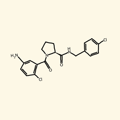 Nc1ccc(Cl)c(C(=O)N2CCC[C@H]2C(=O)NCc2ccc(Cl)cc2)c1